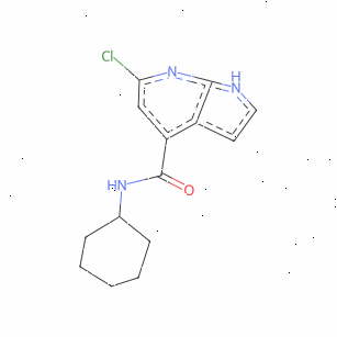 O=C(NC1CCCCC1)c1cc(Cl)nc2[nH]ccc12